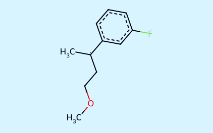 COCC[C](C)c1cccc(F)c1